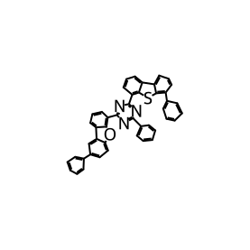 c1ccc(-c2ccc3oc4c(-c5nc(-c6ccccc6)nc(-c6cccc7c6sc6c(-c8ccccc8)cccc67)n5)cccc4c3c2)cc1